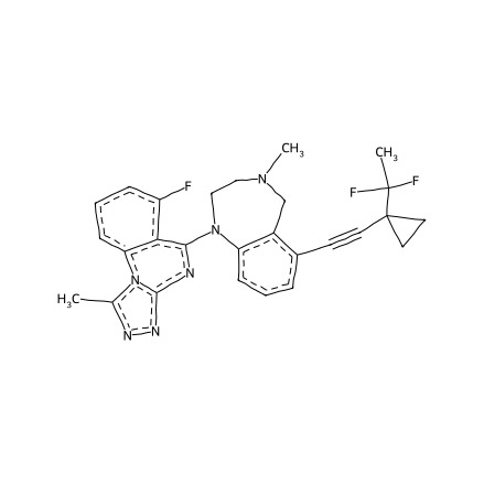 Cc1nnc2nc(N3CCN(C)Cc4c(C#CC5(C(C)(F)F)CC5)cccc43)c3c(F)cccc3n12